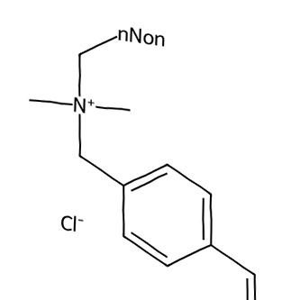 C=Cc1ccc(C[N+](C)(C)CCCCCCCCCC)cc1.[Cl-]